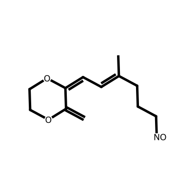 C=C1OCCO/C1=C/C=C(\C)CCCN=O